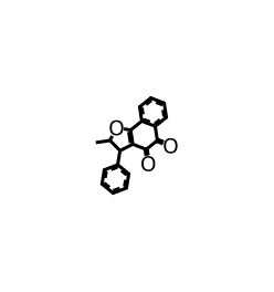 CC1OC2=C(C(=O)C(=O)c3ccccc32)C1c1ccccc1